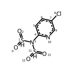 O=[SH](=O)N(c1ccc(Cl)cn1)[SH](=O)=O